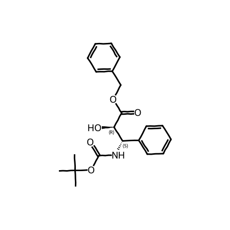 CC(C)(C)OC(=O)N[C@@H](c1ccccc1)[C@@H](O)C(=O)OCc1ccccc1